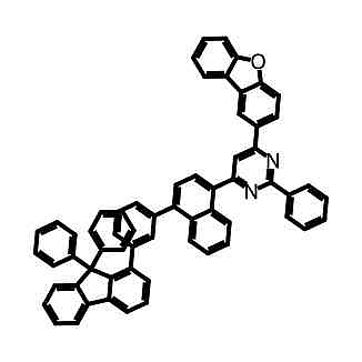 c1ccc(-c2nc(-c3ccc4oc5ccccc5c4c3)cc(-c3ccc(-c4cccc(-c5cccc6c5C(c5ccccc5)(c5ccccc5)c5ccccc5-6)c4)c4ccccc34)n2)cc1